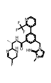 C[C@H](NC(=O)c1cc(Cn2ccn(C)c2=N)cc(-c2cccnc2C(F)(F)F)c1)C1N=CC(F)CN1